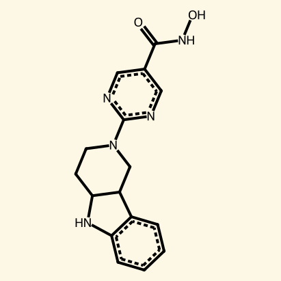 O=C(NO)c1cnc(N2CCC3Nc4ccccc4C3C2)nc1